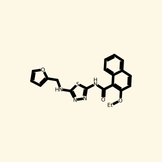 CCOc1ccc2ccccc2c1C(=O)Nc1nnc(NCc2ccco2)s1